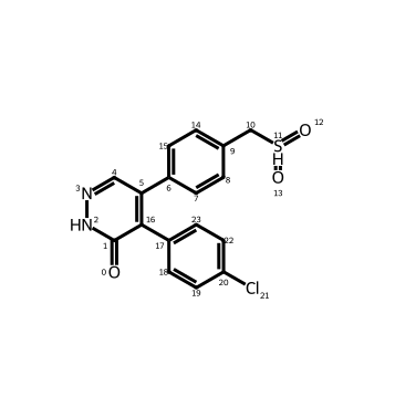 O=c1[nH]ncc(-c2ccc(C[SH](=O)=O)cc2)c1-c1ccc(Cl)cc1